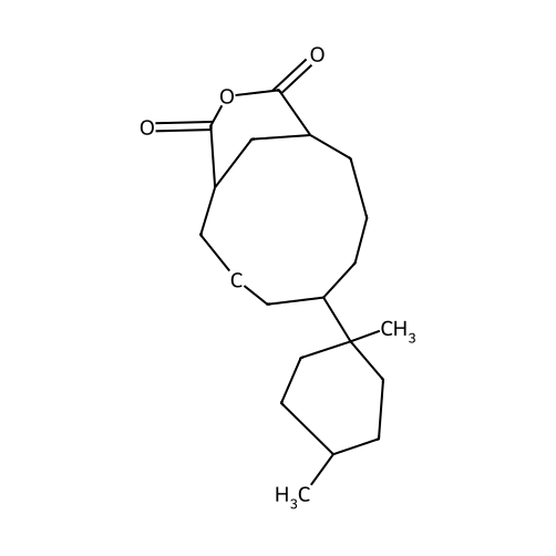 CC1CCC(C)(C2CCCC3CC(CCC2)C(=O)OC3=O)CC1